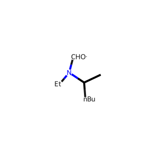 CCCCC(C)N([C]=O)CC